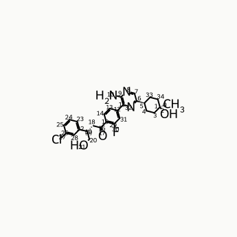 C[C@]1(O)CC[C@@H](c2cnc(N)c(-c3ccc(C(=O)C[C@H](CO)c4cccc(Cl)c4)c(F)c3)n2)CC1